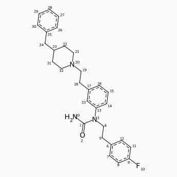 NC(=O)N(CCc1ccc(F)cc1)c1cccc(CCN2CCC(Cc3ccccc3)CC2)c1